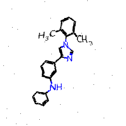 Cc1cccc(C)c1-n1cnc(-c2cccc(Nc3ccccc3)c2)c1